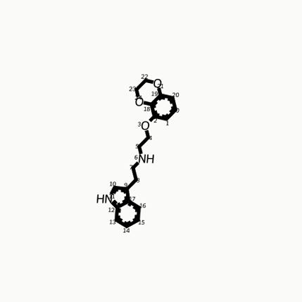 c1cc(OCCNCCc2c[nH]c3ccccc23)c2c(c1)OCCO2